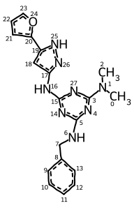 CN(C)c1nc(NCc2ccccc2)nc(Nc2cc(-c3ccco3)[nH]n2)n1